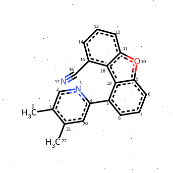 Cc1cnc(-c2cccc3oc4cccc(C#N)c4c23)cc1C